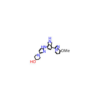 COc1cccn2c(-c3ccc(Nc4ccc(N5CCC(O)CC5)cn4)c4c3CNC4)cnc12